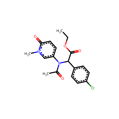 CCOC(=O)C(c1ccc(Cl)cc1)N(C(C)=O)c1ccc(=O)n(C)c1